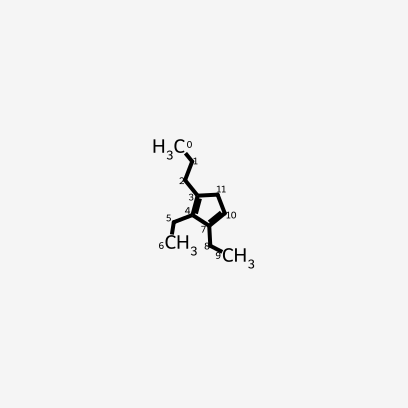 CCCC1=C(CC)C(CC)=CC1